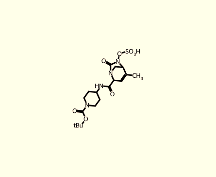 CC1=CC(C(=O)NC2CCN(C(=O)OC(C)(C)C)CC2)N2CC1N(OS(=O)(=O)O)C2=O